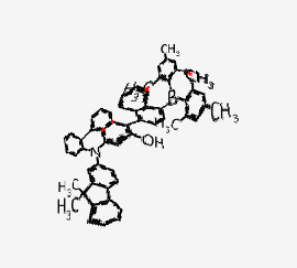 Cc1cc(C)c(B(c2c(C)cc(C)cc2C)c2ccc(-c3ccc(N(c4ccc5c(c4)C(C)(C)c4ccccc4-5)c4ccccc4-c4ccccc4)cc3O)c3ccccc23)c(C)c1